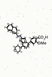 COc1cc(-c2cnc(N3CCOCC3)c3nc(/C=C/c4ccc5ccccc5n4)cn23)ccc1C(=O)O